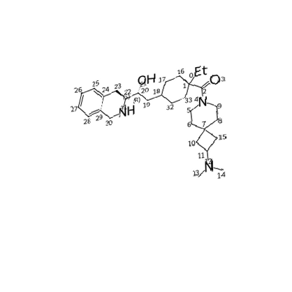 CCC1(C(=O)N2CCC3(CC2)CC(N(C)C)C3)CCC(C[C@@H](O)[C@@H]2Cc3ccccc3CN2)CC1